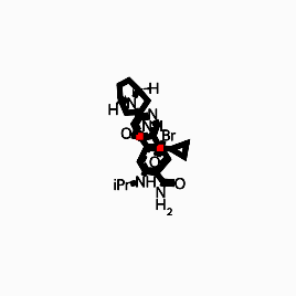 CC(C)Nc1cc(C(=O)N[C@H]2C[C@H]3CC[C@@H](C2)N3c2ccc(C(=O)C3CC3)cn2)c(Br)cc1C(N)=O